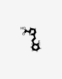 O=C(O)c1cccc(/C=C/c2ccccc2F)n1